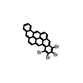 Brc1c(Br)c(Br)c2c(cc3ccc4cc5c6ccccc6cc6ccc7cc2c3c4c7c65)c1Br